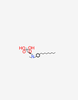 CCCCCCCCCc1ccc(CN(CC)CC#CCC(C)(C(=O)O)C(=O)O)cc1